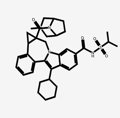 CC(C)S(=O)(=O)NC(=O)c1ccc2c(C3CCCCC3)c3n(c2c1)CC1(C(=O)N2C4CCC2CN(C)C4)CC1c1ccccc1-3